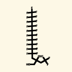 OCC(O)(CC(F)(F)F)CC(F)(F)C(F)(F)C(F)(F)C(F)(F)C(F)(F)C(F)(F)C(F)(F)C(F)(F)C(F)(F)C(F)(F)F